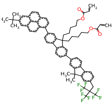 C=CC(=O)OCCCCCC1(CCCCCOC(=O)C=C)c2cc(-c3ccc4c(c3)C(C)(C)c3cc(CC(C(F)(F)F)(C(F)(F)F)C(F)(F)F)ccc3-4)ccc2-c2ccc(-c3ccc4ccc5cc(C(C)(C)C)cc6ccc3c4c56)cc21